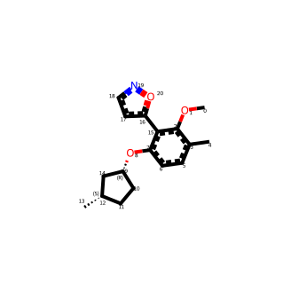 COc1c(C)ccc(O[C@@H]2CC[C@H](C)C2)c1-c1ccno1